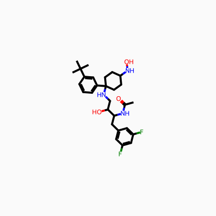 CC(=O)NC(Cc1cc(F)cc(F)c1)C(O)CNC1(c2cccc(C(C)(C)C)c2)CCC(NO)CC1